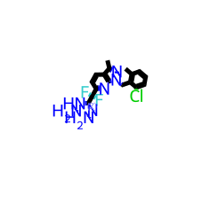 Cc1cccc(Cl)c1Cn1nc(C)c2ccc(C(F)(F)/C(=N/N)NN)nc21